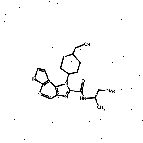 COCC(C)NC(=O)c1nc2cnc3[nH]ccc3c2n1C1CCC(CC#N)CC1